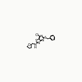 Clc1nc(SCc2ccccc2)nc2nc(NCC3CCCO3)sc12